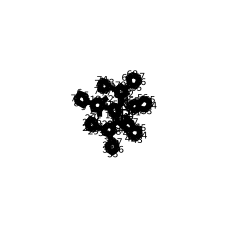 Cc1cc(-c2ccccc2)cc(C)c1-c1cc2c3c(c1)N(c1cc(-c4ccccc4)cc(-c4ccccc4)c1)c1cc4ccccc4cc1B3c1cc3ccccc3cc1N2c1cc(-c2ccccc2)cc(-c2ccccc2)c1